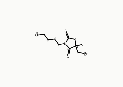 CC(C)CC1(C)CC(=O)N(CCCCCl)C1=O